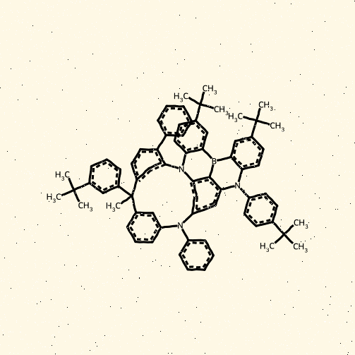 CC(C)(C)c1ccc(N2c3ccc(C(C)(C)C)cc3B3c4cc(C(C)(C)C)ccc4N4c5cc(ccc5-c5ccccc5)C(C)(c5cccc(C(C)(C)C)c5)c5cccc(c5)N(c5ccccc5)c5cc2c3c4c5)cc1